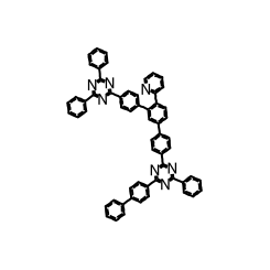 c1ccc(-c2ccc(-c3nc(-c4ccccc4)nc(-c4ccc(-c5ccc(-c6ccccn6)c(-c6ccc(-c7nc(-c8ccccc8)nc(-c8ccccc8)n7)cc6)c5)cc4)n3)cc2)cc1